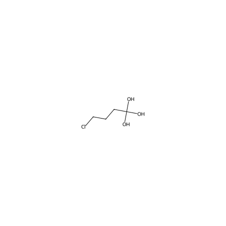 OC(O)(O)CCCCl